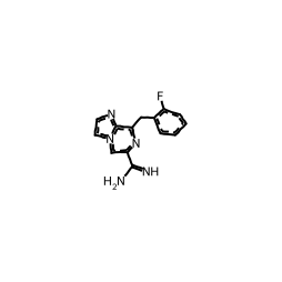 N=C(N)c1cn2ccnc2c(Cc2ccccc2F)n1